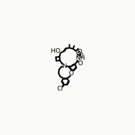 CC1/C=C/C(O)C2CCC2CN2CCCCc3cc(Cl)ccc3COc3ccc(cc32)C(=O)NS(=O)(=O)C(C)C1C